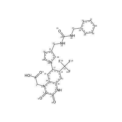 O=C(O)Cn1c(=O)c(=O)[nH]c2cc(C(F)(F)F)c(-n3ccc(CNC(=O)NCc4ccccc4)c3)cc21